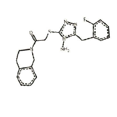 Nn1c(Cc2ccccc2F)nnc1SCC(=O)N1CCc2ccccc2C1